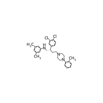 Cc1cc(C)cc(NC[C@@H](CCN2CCN(c3ccccc3C)CC2)c2ccc(Cl)c(Cl)c2)c1